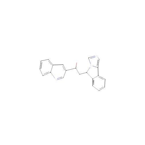 OC(CC1c2ccccc2-c2cncn21)c1cnc2ccccc2c1